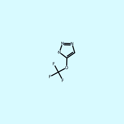 FC(F)(F)OC1=CN=N[N]1